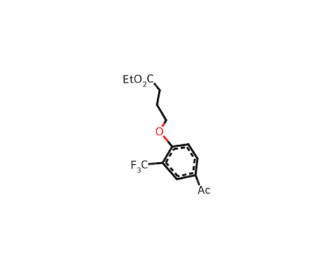 CCOC(=O)CCCOc1ccc(C(C)=O)cc1C(F)(F)F